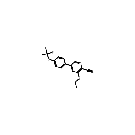 CCSc1cc(-c2ccc(OC(F)(F)F)cc2)cnc1C#N